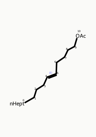 CCCCCCCCCC/C=C/CCCCOC(C)=O